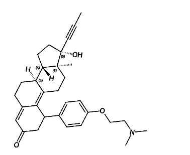 CC#C[C@]1(O)CC[C@H]2[C@@H]3CCC4=CC(=O)CC(c5ccc(OCCN(C)C)cc5)C4=C3CC[C@@]21C